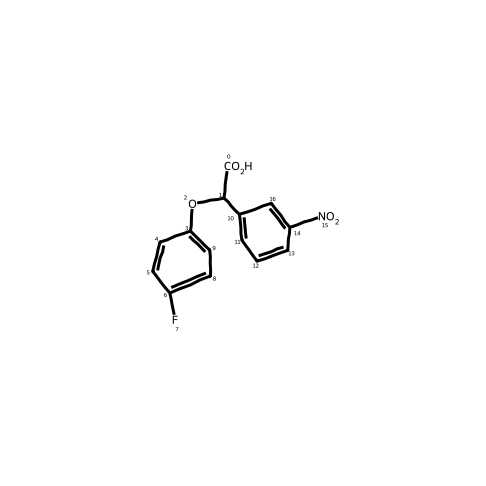 O=C(O)C(Oc1ccc(F)cc1)c1cccc([N+](=O)[O-])c1